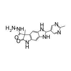 Cc1ncc(C2Nc3cc4c(cc3N2)C(C)(C(=O)NN)C(=O)N4)cn1